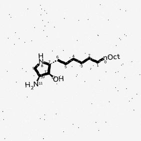 CCCCCCCCCCCCCC[C@H]1NC[C@H](N)[C@@H]1O